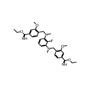 CCOC(=N)c1ccc(CN(C)c2cccc(N(C)Cc3ccc(C(=N)OCC)cc3OC)c2F)c(OC)c1